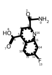 NC(=O)c1cc(C(=O)O)c2ccc(F)cc2n1